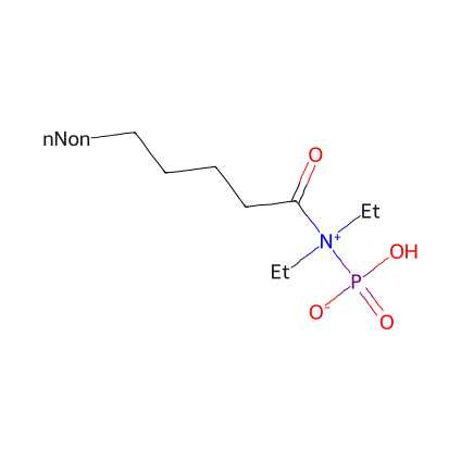 CCCCCCCCCCCCCC(=O)[N+](CC)(CC)P(=O)([O-])O